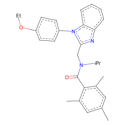 CCOc1ccc(-n2c(CN(C(=O)c3c(C)cc(C)cc3C)C(C)C)nc3ccccc32)cc1